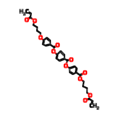 C=CC(=O)OCCCCOC(=O)c1ccc(OC(=O)c2ccc(OC(=O)c3ccc(OCCCCOC(=O)C=C)cc3)cc2)cc1